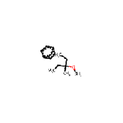 CCC(C)(CC)O[SiH3].c1cc2ccc1cc2